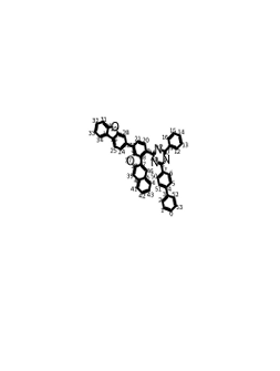 c1ccc(-c2ccc(-c3nc(-c4ccccc4)nc(-c4ccc(-c5ccc6c(c5)oc5ccccc56)c5oc6cc7ccccc7cc6c45)n3)cc2)cc1